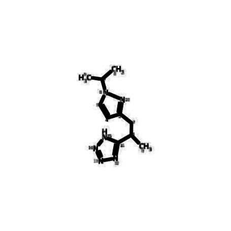 CC(Cc1ccn(C(C)C)n1)c1nnn[nH]1